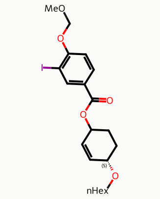 CCCCCCO[C@@H]1C=CC(OC(=O)c2ccc(OCOC)c(I)c2)CC1